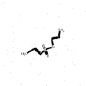 CC=COS(=O)(=O)C=CC